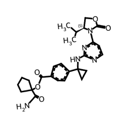 CC(C)[C@H]1COC(=O)N1c1ccnc(NC2(c3ccc(C(=O)OC4(C(N)=O)CCCC4)cc3)CC2)n1